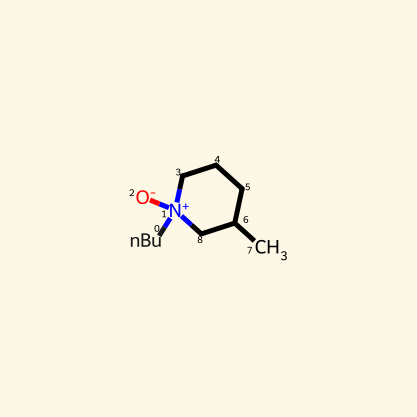 CCCC[N+]1([O-])CCCC(C)C1